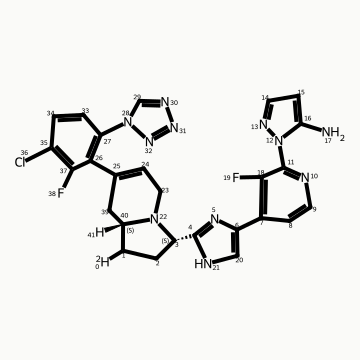 [2H]C1C[C@@H](c2nc(-c3ccnc(-n4nccc4N)c3F)c[nH]2)N2CC=C(c3c(-n4cnnn4)ccc(Cl)c3F)C[C@@H]12